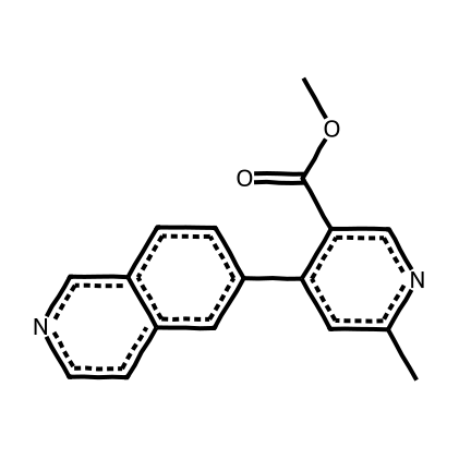 COC(=O)c1cnc(C)cc1-c1ccc2cnccc2c1